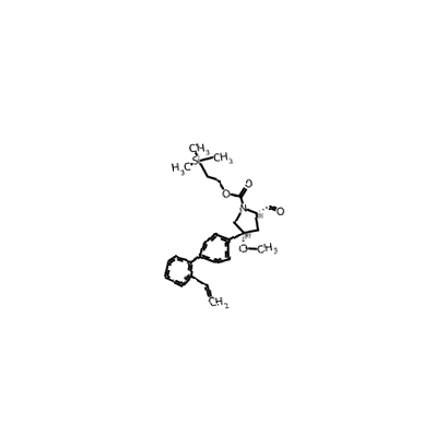 C=Cc1ccccc1-c1ccc([C@]2(OC)C[C@@H](C=O)N(C(=O)OCC[Si](C)(C)C)C2)cc1